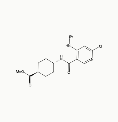 COC(=O)[C@H]1CC[C@H](NC(=O)c2cnc(Cl)cc2NC(C)C)CC1